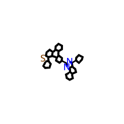 c1ccc(-c2nc(-c3ccc4c(c3)c3ccccc3c3ccc5sc6ccccc6c5c34)nc3c2ccc2ccccc23)cc1